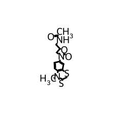 CC(=O)NCC1CN(c2ccc3c(c2)SCC(=S)N3C)C(=O)O1